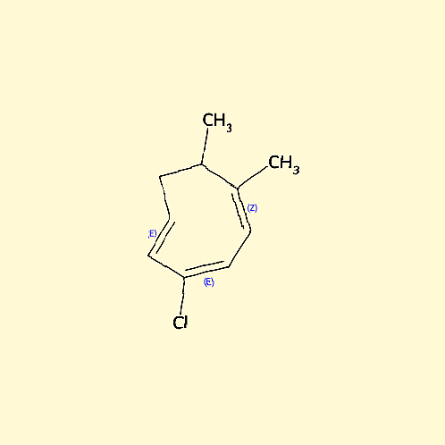 C/C1=C/C=C(Cl)\C=C\CC1C